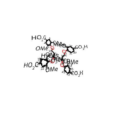 COc1cc(C(=O)O)cc(OC)c1OCCC(C)(C)Oc1c(OC)cc(C(=O)O)cc1OC.COc1cc(C(=O)O)ccc1OCCC(C)(C)Oc1ccc(C(=O)O)cc1OC